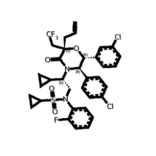 C=CC[C@@]1(CC(F)(F)F)O[C@H](c2cccc(Cl)c2)[C@@H](c2ccc(Cl)cc2)N([C@H](CN(c2ccccc2F)S(=O)(=O)C2CC2)C2CC2)C1=O